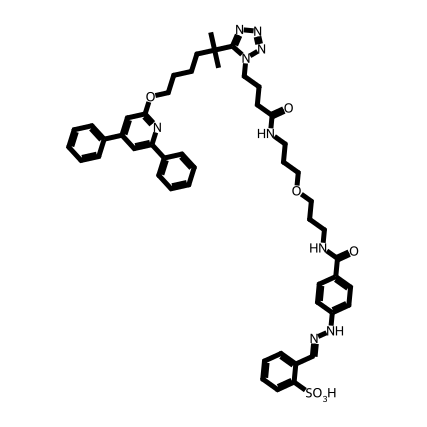 CC(C)(CCCCOc1cc(-c2ccccc2)cc(-c2ccccc2)n1)c1nnnn1CCCC(=O)NCCCOCCCNC(=O)c1ccc(N/N=C/c2ccccc2S(=O)(=O)O)cc1